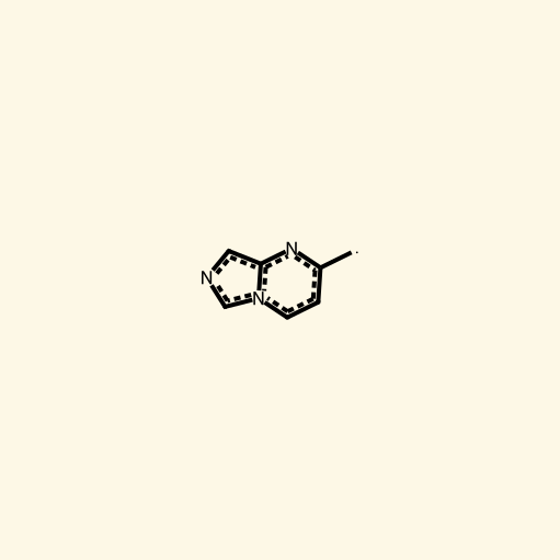 [CH2]c1ccn2cncc2n1